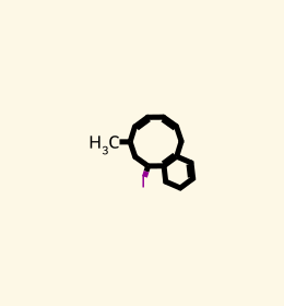 CC1/C=C\C=C/CC2=C(CCC=C2)C(I)C1